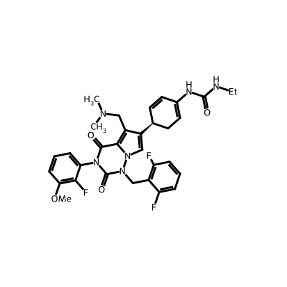 CCNC(=O)NC1=CC[C@@H](c2cn3c(c2CN(C)C)c(=O)n(-c2cccc(OC)c2F)c(=O)n3Cc2c(F)cccc2F)C=C1